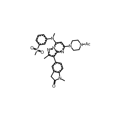 CC(=O)N1CCN(c2cc(N(C)c3cccc(S(C)(=O)=O)c3)n3nc(C)c(-c4ccc5c(c4)CC(=O)N5C)c3n2)CC1